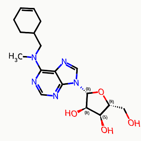 CN(CC1CC=CCC1)c1ncnc2c1ncn2[C@@H]1O[C@H](CO)[C@@H](O)[C@H]1O